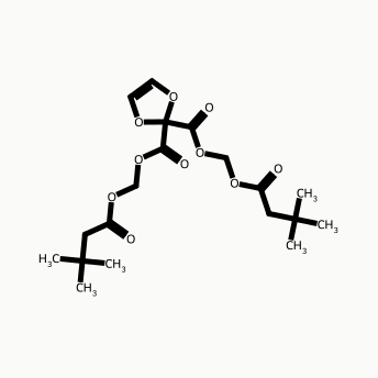 CC(C)(C)CC(=O)OCOC(=O)C1(C(=O)OCOC(=O)CC(C)(C)C)OC=CO1